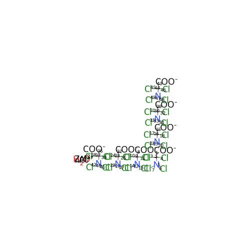 O.O=C([O-])C(Cl)(Cl)N(Cl)Cl.O=C([O-])C(Cl)(Cl)N(Cl)Cl.O=C([O-])C(Cl)(Cl)N(Cl)Cl.O=C([O-])C(Cl)(Cl)N(Cl)Cl.O=C([O-])C(Cl)(Cl)N(Cl)Cl.O=C([O-])C(Cl)(Cl)N(Cl)Cl.O=C([O-])C(Cl)(Cl)N(Cl)Cl.[Al+3].[Zr+4]